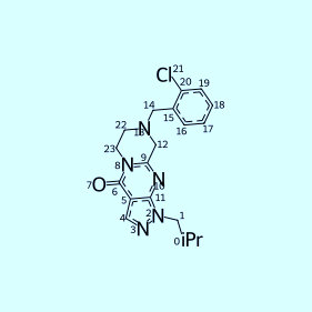 CC(C)Cn1ncc2c(=O)n3c(nc21)CN(Cc1ccccc1Cl)CC3